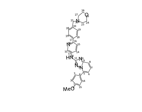 COc1ccc(-c2cccc3nc(Nc4ccc(-c5ccc(CN6CCOCC6)cc5)nc4)nn23)cc1